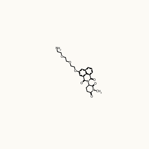 CN1C(=O)CCC(N2C(=O)c3cccc4cc(OCCOCCOCCN)cc(c34)C2=O)C1=O